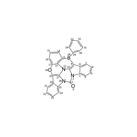 O=c1n2c3ccccc3c3c2n2c4c(cccc4oc4c5ccccc5n1c42)B3c1ccccc1